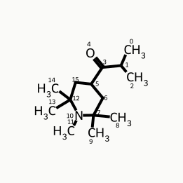 CC(C)C(=O)C1CC(C)(C)N(C)C(C)(C)C1